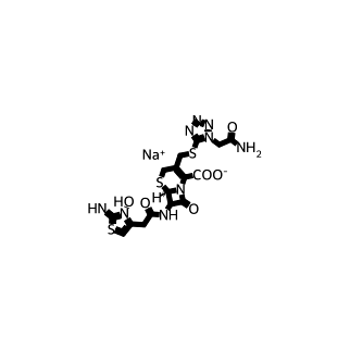 N=c1scc(CC(=O)NC2C(=O)N3C(C(=O)[O-])=C(CSc4nnnn4CC(N)=O)CS[C@H]23)n1O.[Na+]